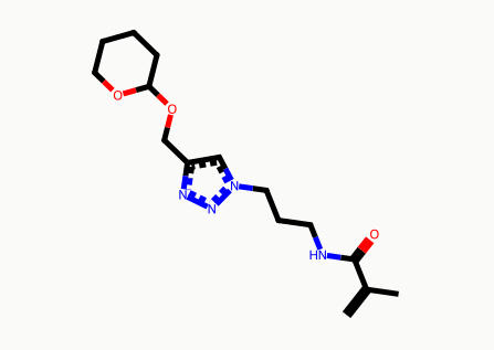 C=C(C)C(=O)NCCCn1cc(COC2CCCCO2)nn1